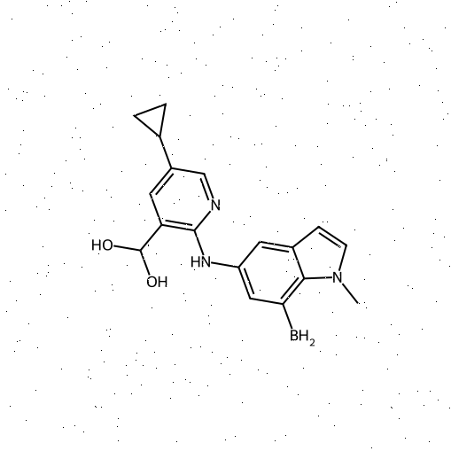 Bc1cc(Nc2ncc(C3CC3)cc2C(O)O)cc2ccn(C)c12